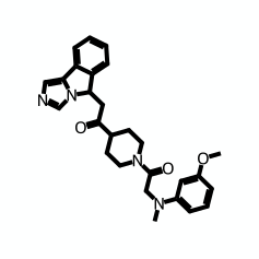 COc1cccc(N(C)CC(=O)N2CCC(C(=O)CC3c4ccccc4-c4cncn43)CC2)c1